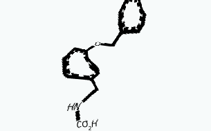 O=C(O)NCc1cccc(OCc2ccccc2)c1